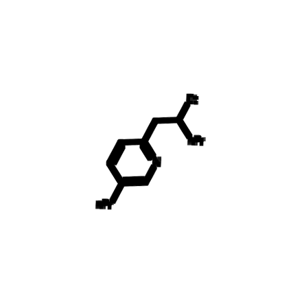 CCCc1ccc(CC(CC)CCC)nc1